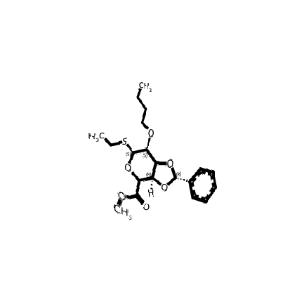 CCCCO[C@H]1C2O[C@H](c3ccccc3)O[C@H]2C(C(=O)OC)O[C@H]1SCC